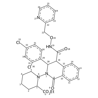 CCOC(=O)C1CCCCN1N1C(=O)c2ccccc2C(C(=O)NOCc2ccccn2)C1c1ccc(Cl)cc1Cl